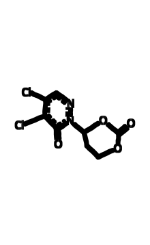 O=C1OCCC(n2ncc(Cl)c(Cl)c2=O)O1